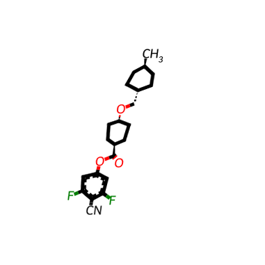 C[C@H]1CC[C@H](CO[C@H]2CC[C@H](C(=O)Oc3cc(F)c(C#N)c(F)c3)CC2)CC1